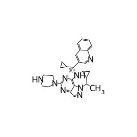 CC(C1CC1)n1ncc2nc(N3CCNCC3)nc(N[C@@H](c3cnc4ccccc4c3)C3CC3)c21